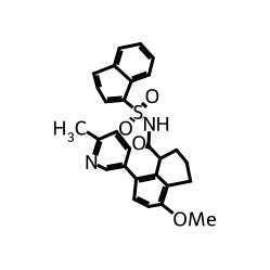 COc1ccc(-c2ccc(C)nc2)c2c1CCCC2C(=O)NS(=O)(=O)c1cccc2ccccc12